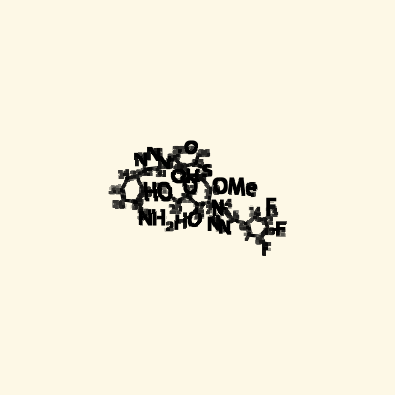 CO[C@@H]1[C@@H](n2cc(-c3cc(F)c(F)c(F)c3)nn2)[C@@H](O)[C@@H](CO)O[C@H]1S[C@@H]1COC[C@H](n2cc(-c3cccc(N)c3)nn2)C1O